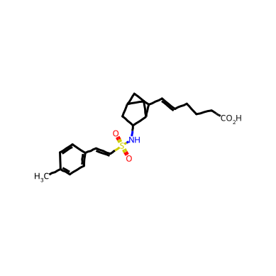 Cc1ccc(C=CS(=O)(=O)NC2CC3CC(C=CCCCC(=O)O)C2C3)cc1